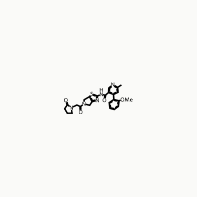 COc1ccccc1-c1cc(C)ncc1C(=O)Nc1nc2c(s1)CN(C(=O)CN1CCCC1=O)C2